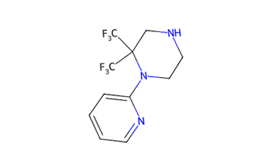 FC(F)(F)C1(C(F)(F)F)CNCCN1c1ccccn1